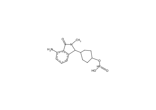 CN1C(=O)c2c(N)cccc2C1C1CCC(O[PH](=O)O)CC1